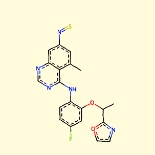 Cc1cc(N=S)cc2ncnc(Nc3ccc(F)cc3OC(C)c3ncco3)c12